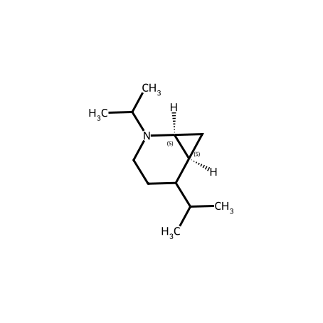 CC(C)C1CCN(C(C)C)[C@H]2C[C@@H]12